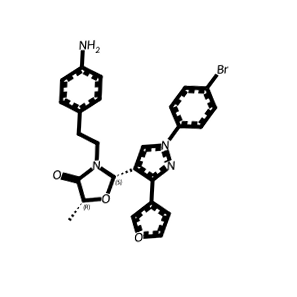 C[C@H]1O[C@@H](c2cn(-c3ccc(Br)cc3)nc2-c2ccoc2)N(CCc2ccc(N)cc2)C1=O